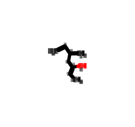 C=CC(=C)CC(O)=CC